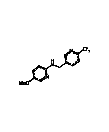 COc1ccc(NCc2ccc(C(F)(F)F)nc2)nc1